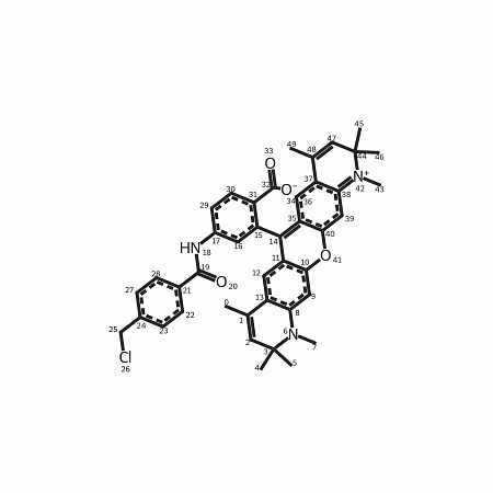 CC1=CC(C)(C)N(C)c2cc3c(cc21)C(c1cc(NC(=O)c2ccc(CCl)cc2)ccc1C(=O)[O-])=c1cc2c(cc1O3)=[N+](C)C(C)(C)C=C2C